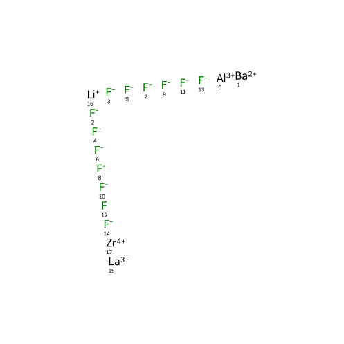 [Al+3].[Ba+2].[F-].[F-].[F-].[F-].[F-].[F-].[F-].[F-].[F-].[F-].[F-].[F-].[F-].[La+3].[Li+].[Zr+4]